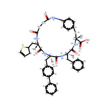 O=C1CCC(=O)N[C@@H](CC2CC=CS2)C(=O)N[C@H](Cc2ccc(-c3ccccc3)cc2)C(=O)N[C@H](Cc2ccccc2)C(=O)N[C@@H](C(=O)O)Cc2ccc(cc2)N1